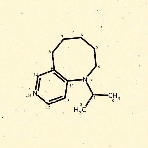 CC(C)N1CCCCCc2cnccc21